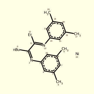 CCCCC(=Nc1cc(C)cc(C)c1)C(CC)=Nc1cc(C)cc(C)c1.[Ni]